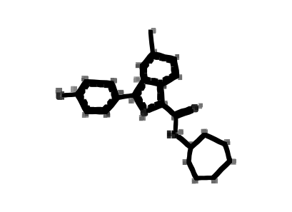 Cc1ccc2c(C(=O)NC3CCCCCC3)oc(-c3ccc(Cl)cc3)c2c1